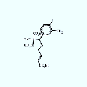 CCOC(=O)/C=C/CSC(c1ccc(F)c(C)c1)C(O)(C(=O)OCC)C(=O)OCC